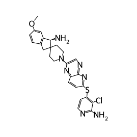 COc1ccc2c(c1)[C@@H](N)C1(CCN(c3cnc4nc(Sc5ccnc(N)c5Cl)ccc4n3)CC1)C2